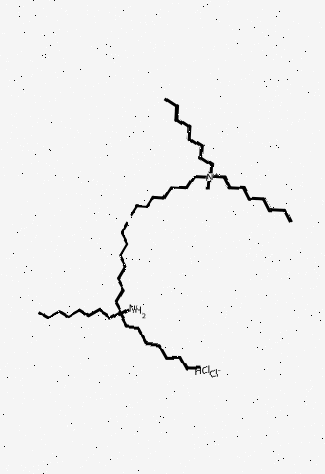 CCCCCCCCC(N)(CCCCCCCC)CCCCCCCC.CCCCCCCC[N+](C)(CCCCCCCC)CCCCCCCC.Cl.[Cl-]